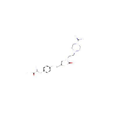 COC(=O)C(N)Cc1ccc(OCC2CN(CCN3CCN(C(=N)N)CC3)C(=O)O2)cc1